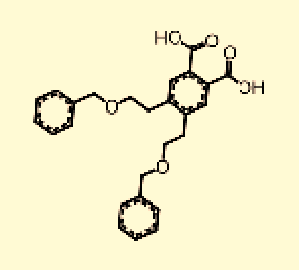 O=C(O)c1cc(CCOCc2ccccc2)c(CCOCc2ccccc2)cc1C(=O)O